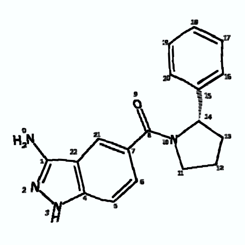 Nc1n[nH]c2ccc(C(=O)N3CCC[C@H]3c3ccccc3)cc12